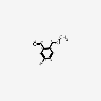 COCc1ccc(F)cc1C=O